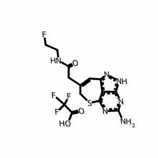 Nc1nc2c3c(n[nH]c3n1)C=C(CC(=O)NCCF)CS2.O=C(O)C(F)(F)F